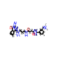 CN(C)Cc1cccc(-c2noc(CCC(=O)NCCCNc3n[nH]c(=O)c4ccccc34)n2)c1